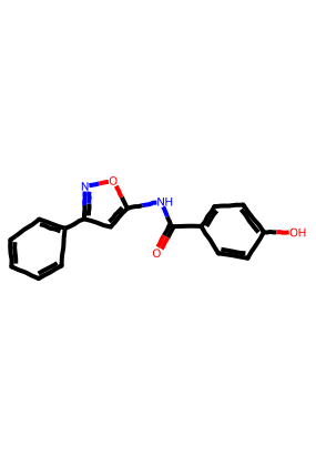 O=C(Nc1cc(-c2ccccc2)no1)c1ccc(O)cc1